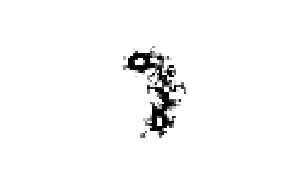 O=S(=O)(N/C(F)=C(\F)c1ccc(F)c(F)c1F)N1CSc2ccccc21